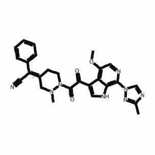 COc1cnc(-n2cnc(C)n2)c2[nH]cc(C(=O)C(=O)N3CC/C(=C(/C#N)c4ccccc4)CN3C)c12